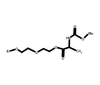 CCOCCOCCOC(=O)C(C)NC(=O)OC(C)(C)C